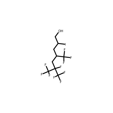 OCC(I)CC(CC(F)(C(F)(F)F)C(F)(F)F)C(F)(F)F